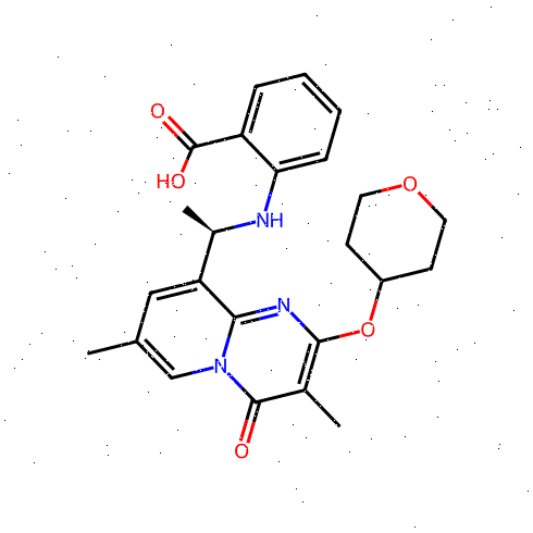 Cc1cc([C@@H](C)Nc2ccccc2C(=O)O)c2nc(OC3CCOCC3)c(C)c(=O)n2c1